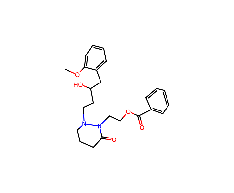 COc1ccccc1CC(O)CCN1CCCC(=O)N1CCOC(=O)c1ccccc1